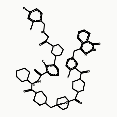 O=C(N[C@@H](C(=O)N1CCN(CC23CCC(C(=O)N4CCN(C(=O)c5cc(Cc6n[nH]c(=O)c7ccccc67)ccc5F)CC4)(CC2)CO3)CC1)C1CCCCC1)c1cccc(C2CCCN(C(=O)CNCc3ccc(F)cc3F)C2)c1F